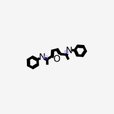 C/C(=N\c1ccccc1)c1ccc(/C(C)=N/c2ccccc2)o1